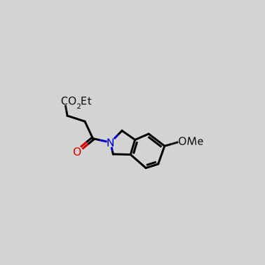 CCOC(=O)CCC(=O)N1Cc2ccc(OC)cc2C1